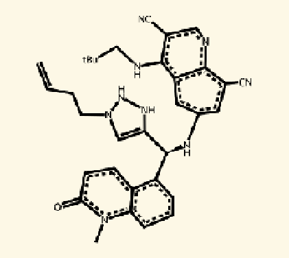 C=CCCN1C=C([C@@H](Nc2cc(C#N)c3ncc(C#N)c(NCC(C)(C)C)c3c2)c2cccc3c2ccc(=O)n3C)NN1